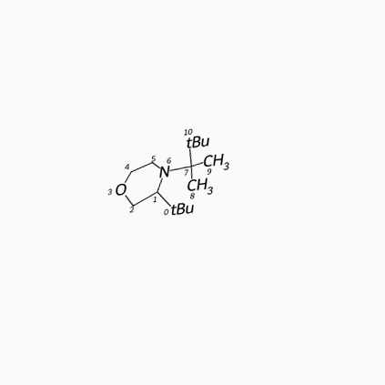 CC(C)(C)C1COCCN1C(C)(C)C(C)(C)C